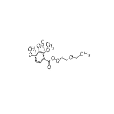 CCOC[CH]OOC(=O)c1ccc(OC)c(OC)c1OC